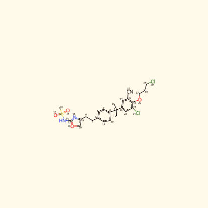 CC(C)(c1ccc(CCc2coc(NS(C)(=O)=O)n2)cc1)c1cc(Cl)c(OCCCCl)c(C#N)c1